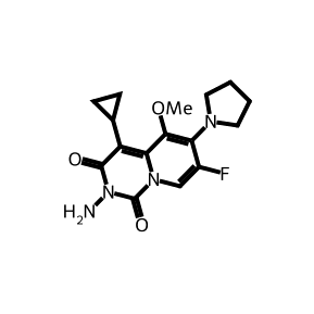 COc1c(N2CCCC2)c(F)cn2c(=O)n(N)c(=O)c(C3CC3)c12